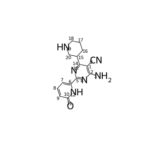 N#Cc1c(N)nc(-c2cccc(=O)[nH]2)nc1C1CCCNC1